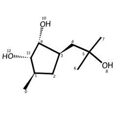 C[C@@H]1C[C@H](CC(C)(C)O)[C@@H](O)[C@H]1O